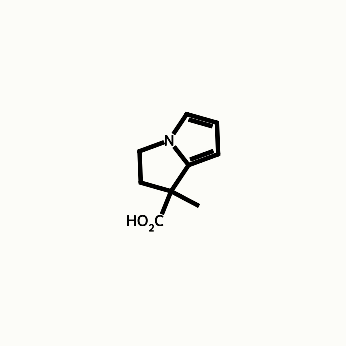 CC1(C(=O)O)CCn2cccc21